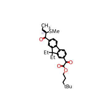 C/C=C(\SC)C(=O)c1ccc2c(c1)C(CC)(CC)c1cc(C(=O)C(=O)OCCCC(C)(C)C)ccc1-2